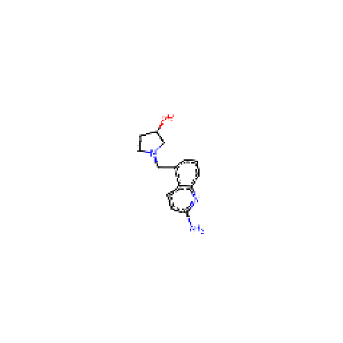 Nc1ccc2c(CN3CC[C@@H](O)C3)cccc2n1